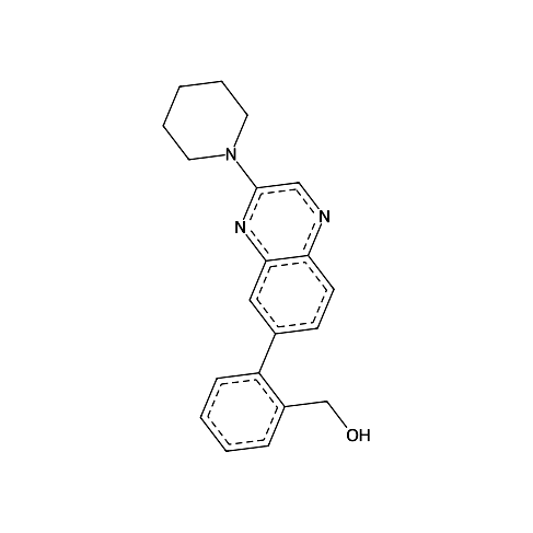 OCc1ccccc1-c1ccc2ncc(N3CCCCC3)nc2c1